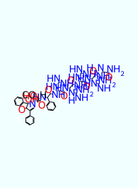 N=C(N)NC(NC(=O)C(NC(=N)N)NC(=O)C(NC(=N)N)NC(=O)C(NC(=N)N)NC(=O)C(NC(=O)C(O)N1C=C(c2ccccc2)C(=O)C1(O)c1ccccc1C(=O)O)c1ccccc1)C(=O)NC(N)C(N)=O